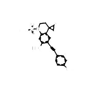 Cc1cc2c(cc1C#Cc1ccc(F)cc1)C1(CCN2S(C)(=O)=O)CC1